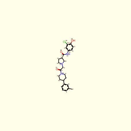 Cc1cccc(C2CCN(C(=O)CN3CC[C@@H](C(=O)Nc4ccc(O)c(Cl)c4)C3)CC2)c1